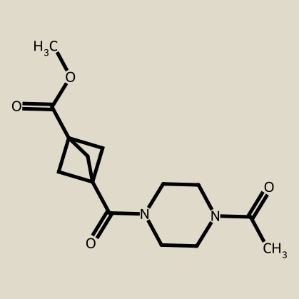 COC(=O)C12CC(C(=O)N3CCN(C(C)=O)CC3)(C1)C2